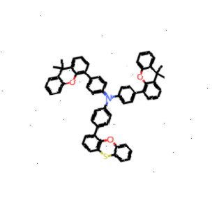 CC1(C)c2ccccc2Oc2c(-c3ccc(N(c4ccc(-c5cccc6c5Oc5ccccc5S6)cc4)c4ccc(-c5cccc6c5Oc5ccccc5C6(C)C)cc4)cc3)cccc21